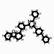 c1ccc(-c2ccc(-c3nc(-c4ccccc4)nc(-c4cccc(-c5cccc6c5oc5ccccc56)c4)n3)cc2)cc1